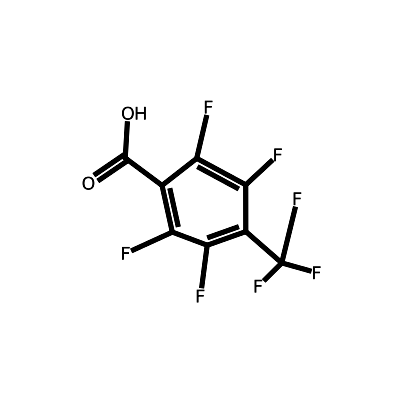 O=C(O)c1c(F)c(F)c(C(F)(F)F)c(F)c1F